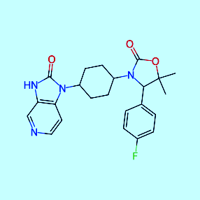 CC1(C)OC(=O)N(C2CCC(n3c(=O)[nH]c4cnccc43)CC2)C1c1ccc(F)cc1